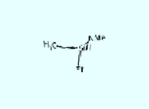 CC[SiH](C)NC